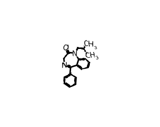 CC(C)CN1C(=O)CN=C(c2ccccc2)c2ccccc21